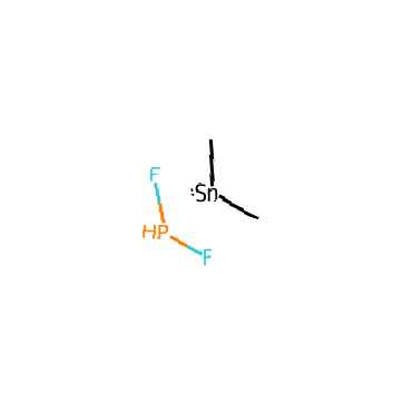 FPF.[CH3][Sn][CH3]